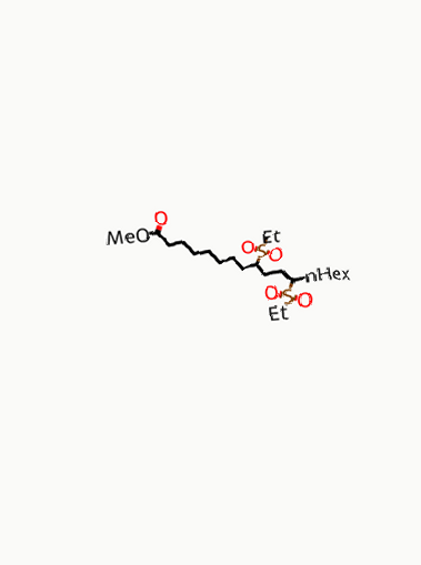 CCCCCCC(CCC(CCCCCCCC(=O)OC)S(=O)(=O)CC)S(=O)(=O)CC